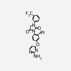 CC(C)c1cc(Oc2ccnc(N)n2)ccc1N1C(=O)CN(c2cccc(C(F)(F)F)c2)C1=O